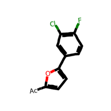 CC(=O)c1ccc(-c2ccc(F)c(Cl)c2)o1